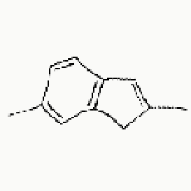 CC1=Cc2ccc(C)cc2C1